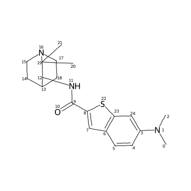 CN(C)c1ccc2cc(C(=O)NC3C4CCN(CC4)C3(C)C)sc2c1